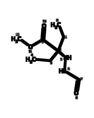 CCC(CC)(NBC=O)C(=O)OC